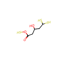 O=C(CC(O)CC(S)S)OS